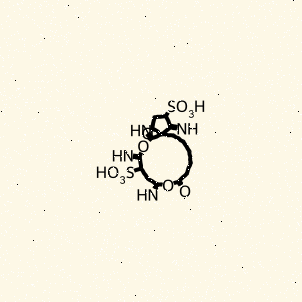 N=C1CC(S(=O)(=O)O)C(=N)OC(=O)C2(CCCCCC(=O)O1)C(=N)CC(S(=O)(=O)O)C2=N